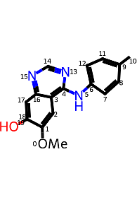 COc1cc2c(Nc3ccc(C)cc3)ncnc2cc1O